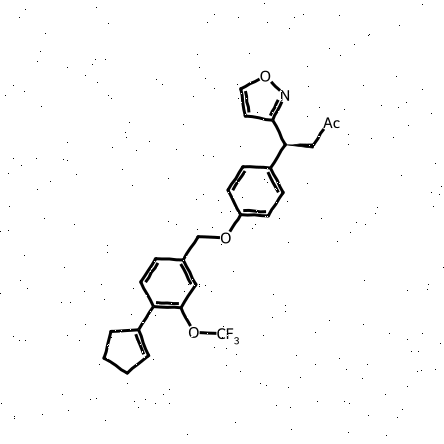 CC(=O)C[C@@H](c1ccc(OCc2ccc(C3=CCCC3)c(OC(F)(F)F)c2)cc1)c1ccon1